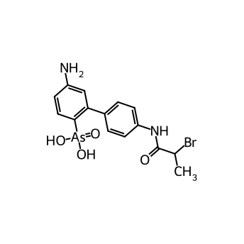 CC(Br)C(=O)Nc1ccc(-c2cc(N)ccc2[As](=O)(O)O)cc1